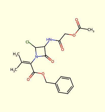 CC(=O)OCC(=O)NC1C(=O)N(C(C(=O)OCc2ccccc2)=C(C)C)C1Cl